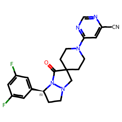 N#Cc1cc(N2CCC3(CC2)CN2CC[C@@H](c4cc(F)cc(F)c4)N2C3=O)ncn1